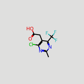 Cc1nc(Cl)c(CC(=O)O)c(C(F)(F)F)n1